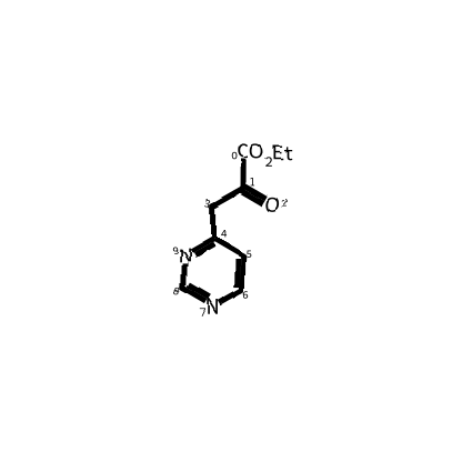 CCOC(=O)C(=O)Cc1ccncn1